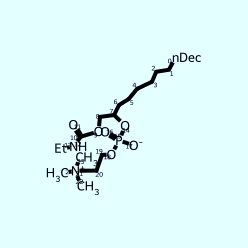 CCCCCCCCCCCCCCCCC(COC(=O)NCC)OP(=O)([O-])OCC[N+](C)(C)C